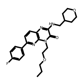 CCCOCCn1c(=O)c(NCC2CCOCC2)nc2ccc(-c3ccc(F)cc3)nc21